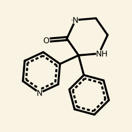 O=C1[N]CCNC1(c1ccccc1)c1cccnc1